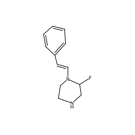 FC1CNCCN1C=Cc1ccccc1